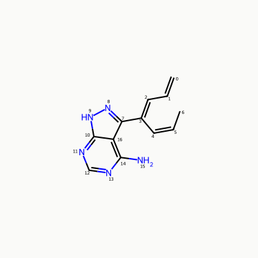 C=C/C=C(\C=C/C)c1n[nH]c2ncnc(N)c12